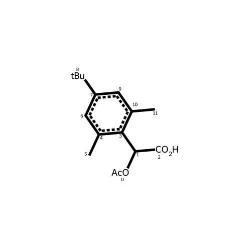 CC(=O)OC(C(=O)O)c1c(C)cc(C(C)(C)C)cc1C